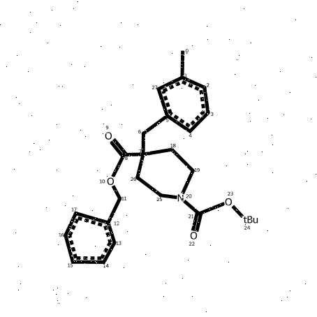 Cc1cccc(CC2(C(=O)OCc3ccccc3)CCN(C(=O)OC(C)(C)C)CC2)c1